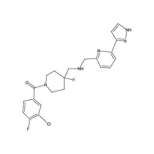 O=C(c1ccc(F)c(Cl)c1)N1CCC(F)(CNCc2cccc(-c3cc[nH]n3)n2)CC1